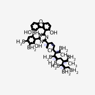 BC/C(B)=C(B)\C(C/C(B)=C(B)\C(C/C=C\C(=C/C)c1nc(-c2c(B)cc(B)c(B)c2O)nc(-c2c(O)ccc3oc4ccc(O)cc4c23)n1)=C(\B)C)=C(\B)C